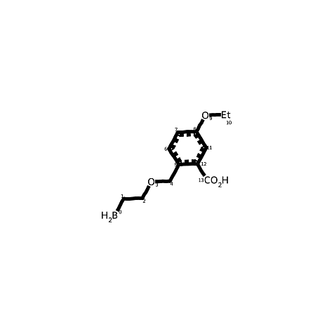 BCCOCc1ccc(OCC)cc1C(=O)O